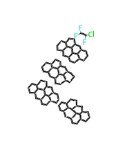 FC(F)=C(F)Cl.c1cc2ccc3cc4cccc5ccc6cc(c1)c2c3c6c54.c1cc2ccc3cc4cccc5ccc6cc(c1)c2c3c6c54.c1cc2ccc3cc4cccc5ccc6cc(c1)c2c3c6c54.c1cc2ccc3cc4cccc5ccc6cc(c1)c2c3c6c54